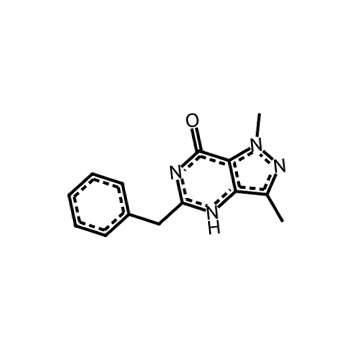 Cc1nn(C)c2c(=O)nc(Cc3ccccc3)[nH]c12